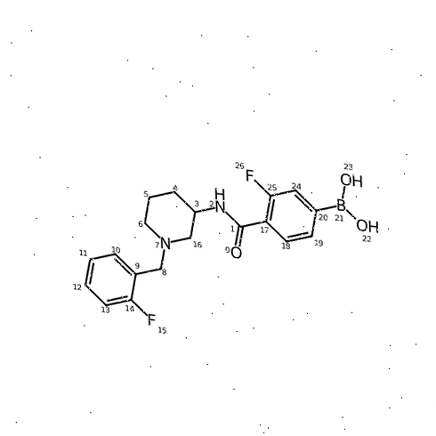 O=C(NC1CCCN(Cc2ccccc2F)C1)c1ccc(B(O)O)cc1F